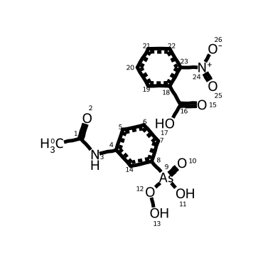 CC(=O)Nc1cccc([As](=O)(O)OO)c1.O=C(O)c1ccccc1[N+](=O)[O-]